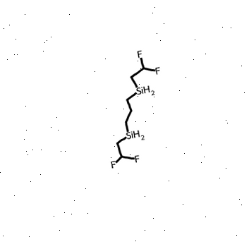 FC(F)C[SiH2]CCC[SiH2]CC(F)F